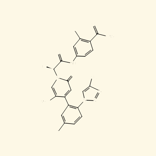 CC[C@@H](C(=O)Nc1ccc(C(=O)OC)c(Cl)c1)n1cc(OC)c(-c2cc(Cl)ccc2-n2cc(C(F)(F)F)nn2)cc1=O